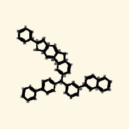 c1ccc(-c2ccc(N(c3cccc(-c4ccc5ccccc5c4)c3)c3ccc4oc5cc6nc(-c7ccccc7)oc6cc5c4c3)cc2)cc1